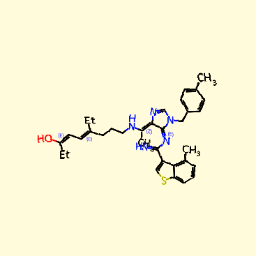 CC/C(O)=C\C=C(/CC)CCCN/C(C)=C1\N=CN(Cc2ccc(C)cc2)\C1=N\C(=N)c1csc2cccc(C)c12